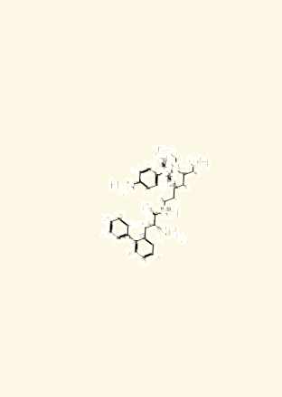 CC(C)CN(C(CO)CCCCNC(=O)C(N)Cc1ccccc1-c1ccccc1)S(=O)(=O)c1ccc(N)cc1